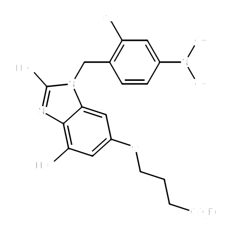 CCOC(=O)CCCOc1cc(C)c2nc(C)n(Cc3ccc(N(C)C)cc3Cl)c2c1